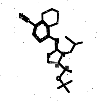 CC(C)CN1C(=Nc2ccc(C#N)c3c2CCCC3)SC[C@H]1[C@@H](C)OC(C)(C)C